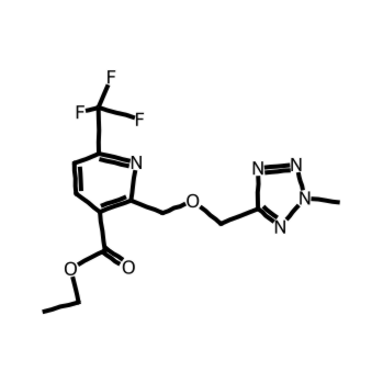 CCOC(=O)c1ccc(C(F)(F)F)nc1COCc1nnn(C)n1